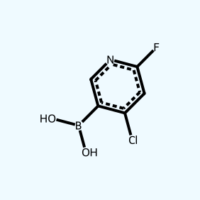 OB(O)c1cnc(F)cc1Cl